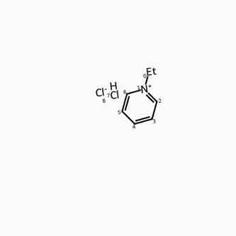 CC[n+]1ccccc1.Cl.[Cl-]